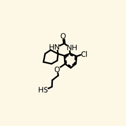 O=C1Nc2c(Cl)ccc(OCCCS)c2C2(CCCCC2)N1